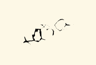 Cc1cc(C(F)(F)F)ccc1C12CC1CN(C(=O)[C@@H]1CCOC(=O)NC1)C2